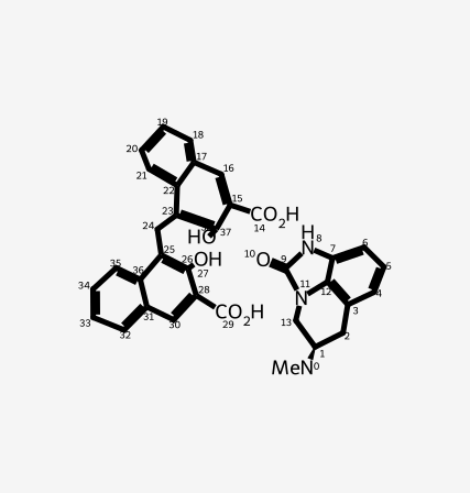 CN[C@@H]1Cc2cccc3[nH]c(=O)n(c23)C1.O=C(O)c1cc2ccccc2c(Cc2c(O)c(C(=O)O)cc3ccccc23)c1O